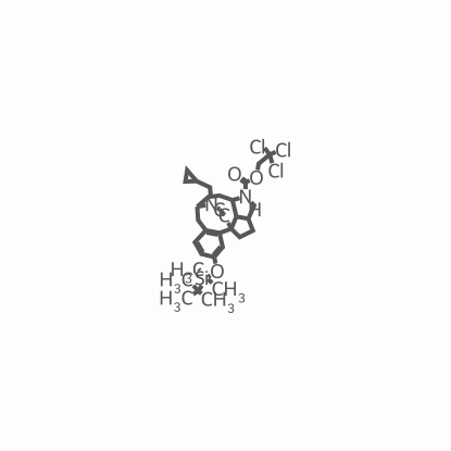 CC(C)(C)[Si](C)(C)Oc1ccc2c(c1)C13CC[C@@H]4CN(C(=O)OCC(Cl)(Cl)Cl)C(CCC(C2)N(CC2CC2)CC1)C43